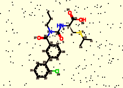 CCCN(C(=O)N[C@@H](CSC(C)C)C(=O)O)C(=O)c1cccc(-c2ccccc2Cl)c1